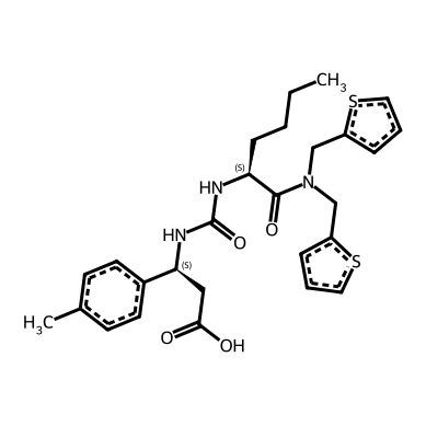 CCCC[C@H](NC(=O)N[C@@H](CC(=O)O)c1ccc(C)cc1)C(=O)N(Cc1cccs1)Cc1cccs1